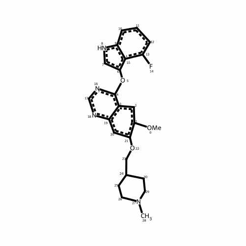 COc1cc2c(Oc3c[nH]c4cccc(F)c34)ncnc2cc1OCC1CCN(C)CC1